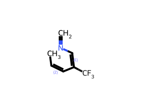 C=N/C=C(\C=C/C)C(F)(F)F